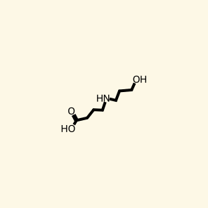 O=C(O)CCCNCCCO